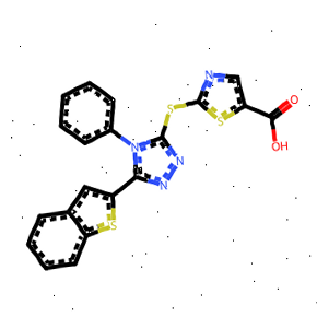 O=C(O)c1cnc(Sc2nnc(-c3cc4ccccc4s3)n2-c2ccccc2)s1